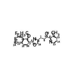 COc1c(-c2nc(CCC(=O)c3ncccc3C)co2)ccc(C2CC2)c1OC(F)F